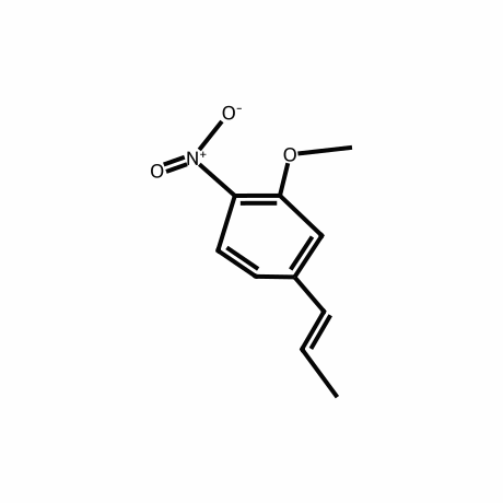 CC=Cc1ccc([N+](=O)[O-])c(OC)c1